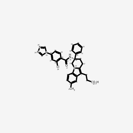 Cc1ccc2c(c1)c(CCC(=O)O)c1n2C[C@@](NC(=O)c2ccc(-n3cnnc3)cc2Cl)(c2ccccc2)CC1